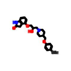 CC(=O)Oc1ccc(OCC2CCN(CC(O)COc3cccc4c3CC(=O)N4)CC2)cc1